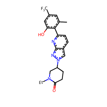 CCN1CC(n2cc3ccc(-c4c(C)cc(C(F)(F)F)cc4O)nc3n2)CCC1=O